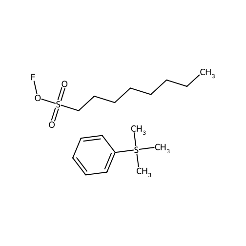 CCCCCCCCS(=O)(=O)OF.CS(C)(C)c1ccccc1